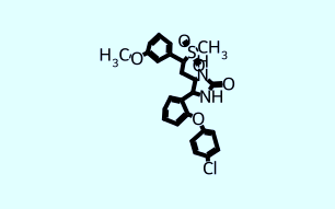 COc1cccc(C(CC2NC(=O)NC2c2ccccc2Oc2ccc(Cl)cc2)S(C)(=O)=O)c1